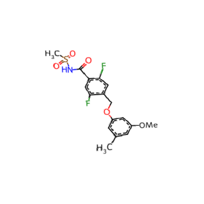 COc1cc(C)cc(OCc2cc(F)c(C(=O)NS(C)(=O)=O)cc2F)c1